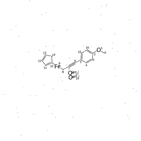 COc1ccc(C#C[CH2][Fe][C]2=CC=CC2)cc1.[C]=O.[C]=O